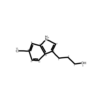 OCCCc1c[nH]c2cc(Cl)ccc12